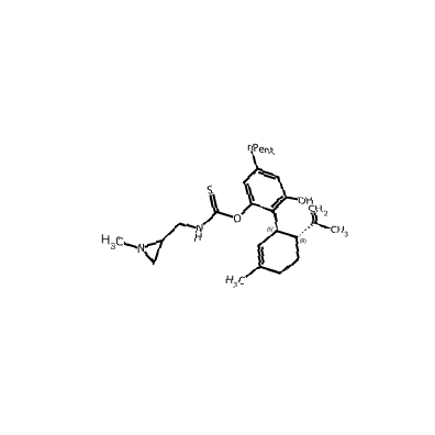 C=C(C)[C@@H]1CCC(C)=C[C@H]1c1c(O)cc(CCCCC)cc1OC(=S)NCC1CN1C